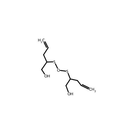 C=CCC(CO)SOSC(CO)CC=C